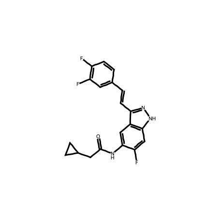 O=C(CC1CC1)Nc1cc2c(C=Cc3ccc(F)c(F)c3)n[nH]c2cc1F